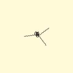 CCCCCCCCCCCCC(C)(CCCCCCCCCCCC)O[Si](CCCCCCCCCCCC)(OCC)OCC